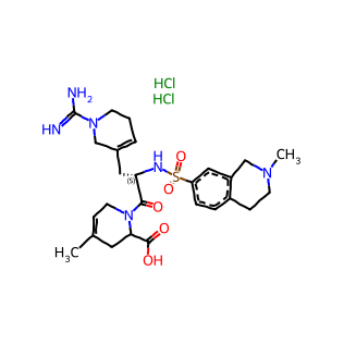 CC1=CCN(C(=O)[C@H](CC2=CCCN(C(=N)N)C2)NS(=O)(=O)c2ccc3c(c2)CN(C)CC3)C(C(=O)O)C1.Cl.Cl